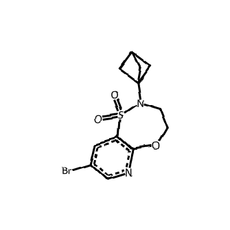 O=S1(=O)c2cc(Br)cnc2OCCN1C12CC(C1)C2